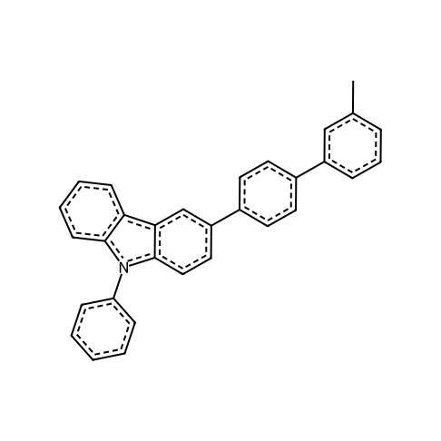 Cc1cccc(-c2ccc(-c3ccc4c(c3)c3ccccc3n4-c3ccccc3)cc2)c1